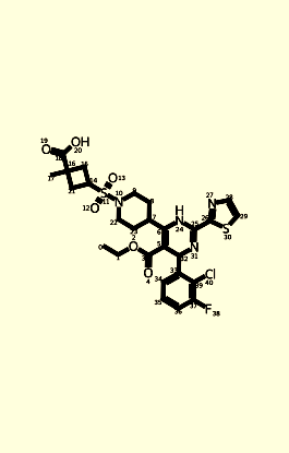 CCOC(=O)C1=C(C2CCN(S(=O)(=O)C3CC(C)(C(=O)O)C3)CC2)NC(c2nccs2)=NC1c1cccc(F)c1Cl